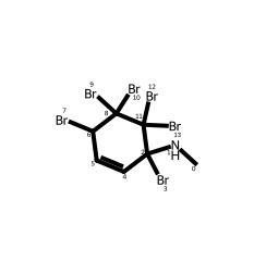 CNC1(Br)C=CC(Br)C(Br)(Br)C1(Br)Br